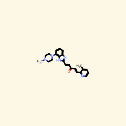 Cc1cccnc1/C=C/C(=O)/C=C/c1nc2cccc(N3CCN(C)CC3)c2[nH]1